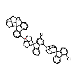 Clc1cc(C2C3CC4CC2CC(C3)C42c3ccccc3-c3c(Cl)cccc32)c2c(c1)C1(c3ccccc3-2)C2CC3CC24CC(CC41)C3c1cccc2c1-c1cccc(Cl)c1C21C2CC3CC4CC1C2(C3)C4